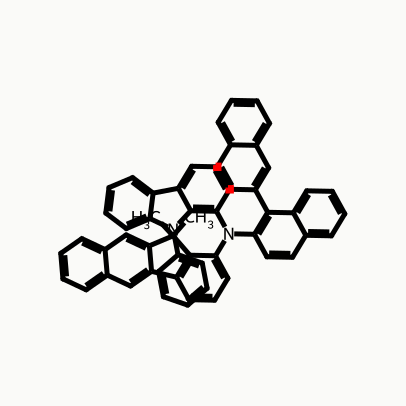 CC1(C)c2cc3ccccc3cc2-c2cccc(N(c3ccc4ccccc4c3-c3ccc4ccccc4c3)c3cccc4c5ccccc5n(-c5ccccc5)c34)c21